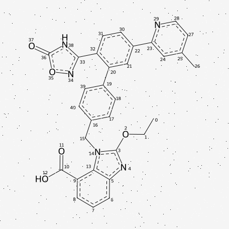 CCOc1nc2cccc(C(=O)O)c2n1Cc1ccc(-c2cc(-c3cc(C)ccn3)ccc2-c2noc(=O)[nH]2)cc1